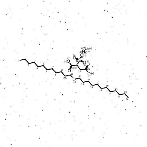 CCCCCCCCCCCCOCCCCCCCCCCCC.O=C(O)CC(C(=O)O)S(=O)(=O)O.[NaH].[NaH]